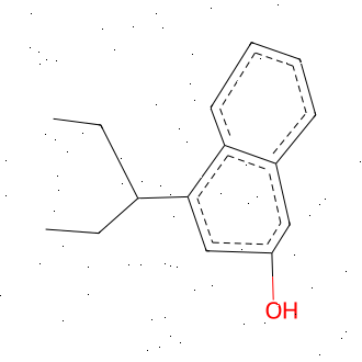 CCC(CC)c1cc(O)cc2ccccc12